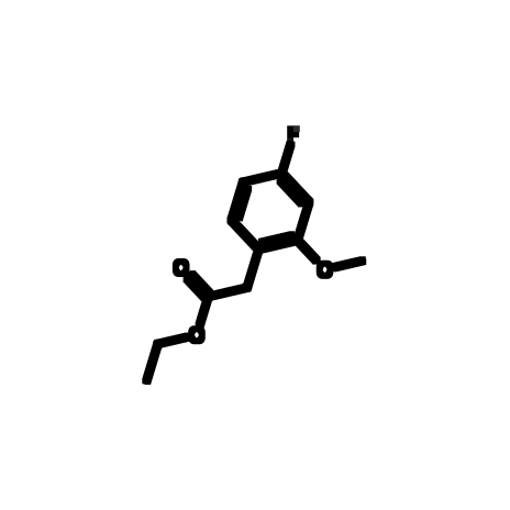 CCOC(=O)Cc1ccc(F)cc1OC